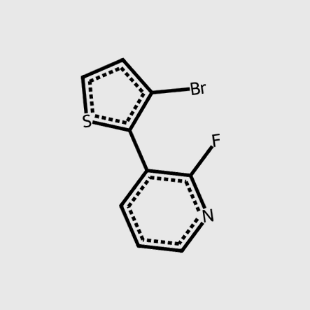 Fc1ncccc1-c1sccc1Br